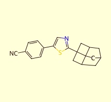 N#Cc1ccc(-c2cnc(C34CC5CC6CC(C3)C54C6)s2)cc1